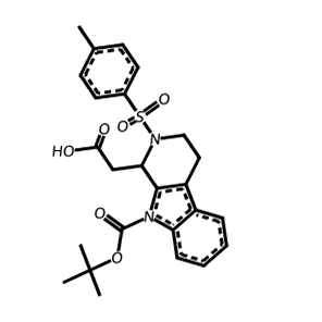 Cc1ccc(S(=O)(=O)N2CCc3c(n(C(=O)OC(C)(C)C)c4ccccc34)C2CC(=O)O)cc1